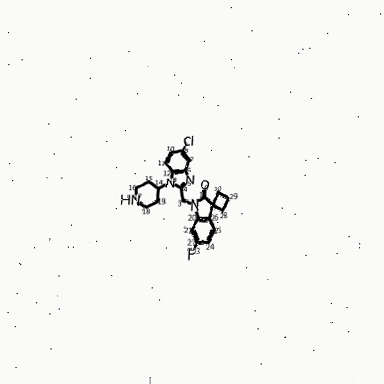 O=C1N(Cc2nc3cc(Cl)ccc3n2C2CCNCC2)c2cc(F)ccc2C12CCC2